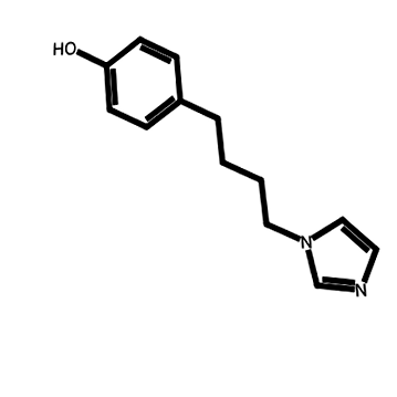 Oc1ccc(CCCCn2ccnc2)cc1